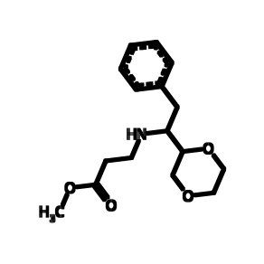 COC(=O)CCNC(Cc1ccccc1)C1COCCO1